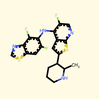 CC1NCCCC1c1cc2c(Nc3c(F)cc4scnc4c3F)c(F)cnc2s1